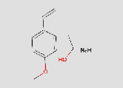 C=Cc1ccc(OC)cc1.CCO.[NaH]